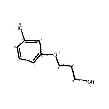 OCCCOc1cccc(O)c1